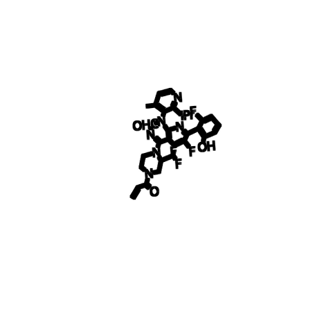 C=CC(=O)N1CCN(/C(=N/C)c2cc(F)c(-c3c(O)cccc3F)nc2N(C=O)c2c(C)ccnc2C(C)C)C(C(F)F)C1